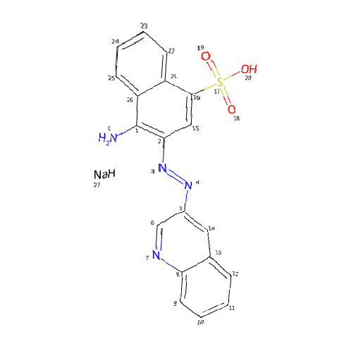 Nc1c(/N=N/c2cnc3ccccc3c2)cc(S(=O)(=O)O)c2ccccc12.[NaH]